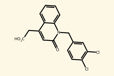 O=C(O)Cc1cc(=O)n(Cc2ccc(Cl)c(Cl)c2)c2ccccc12